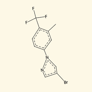 Cc1cc(-n2cc(Br)cn2)ccc1C(F)(F)F